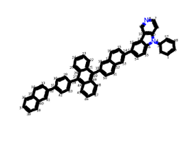 C1=CCC(n2c3ccncc3c3cc(-c4ccc5cc(-c6c7ccccc7c(-c7ccc(-c8ccc9ccccc9c8)cc7)c7ccccc67)ccc5c4)ccc32)C=C1